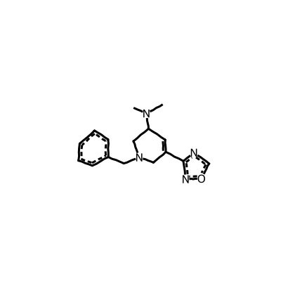 CN(C)C1C=C(c2ncon2)CN(Cc2ccccc2)C1